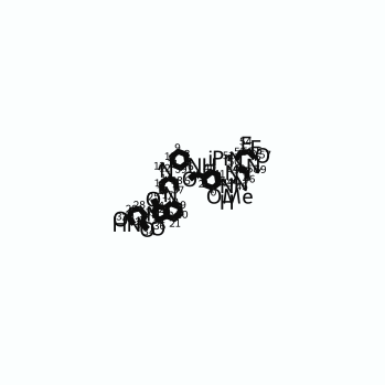 COC1CC(C(=O)NC2CCCC(N(C)C3CCN(c4cccc5c4C(=O)N(C4CCC(=O)NC4=O)C5=O)CC3)C2)=CC=C1Nc1ncc2c(n1)N(C(C)C)CC(F)(F)C(=O)N2C